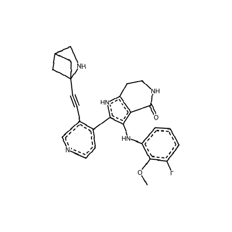 COc1c(F)cccc1Nc1c(-c2ccncc2C#CC23CC(CN2)C3)[nH]c2c1C(=O)NCC2